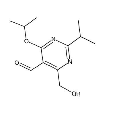 CC(C)Oc1nc(C(C)C)nc(CO)c1C=O